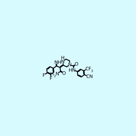 N#Cc1ccc(NC(=O)N2CCN/C(=C(\C(=N)c3ccc(F)c(F)c3)C(N)=O)C2)cc1C(F)(F)F